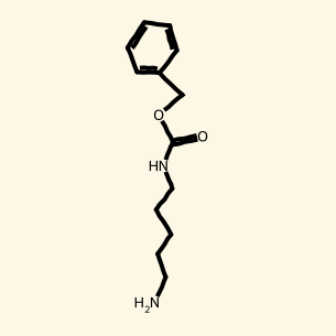 NCCCCCNC(=O)OCc1ccccc1